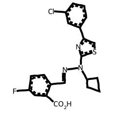 O=C(O)c1cc(F)ccc1/C=N/N(c1nc(-c2cccc(Cl)c2)cs1)C1CCC1